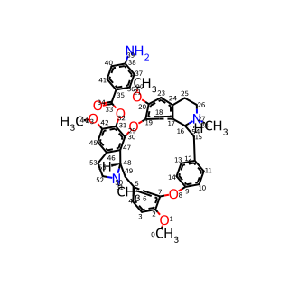 COc1ccc2cc1Oc1ccc(cc1)C[C@H]1c3cc(c(OC)cc3CCN1C)Oc1c(OC(=O)c3ccc(N)cc3)c(OC)cc3c1[C@H](C2)N(C)CC3